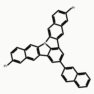 CC(C)c1ccc2cc3c(cc2c1)c1cc(-c2ccc4ccccc4c2)cc2c4cc5cc(C(C)C)ccc5cc4n3c12